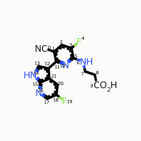 N#Cc1cc(F)c(NCCC(=O)O)nc1-c1c[nH]c2ncc(F)cc12